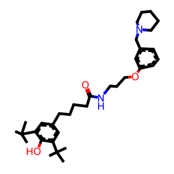 CC(C)(C)c1cc(CCCCC(=O)NCCCOc2cccc(CN3CCCCC3)c2)cc(C(C)(C)C)c1O